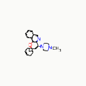 CN1CCN(C2=CC3(Oc4c2ncc2ccccc42)C2C=CCC3CCC2)CC1